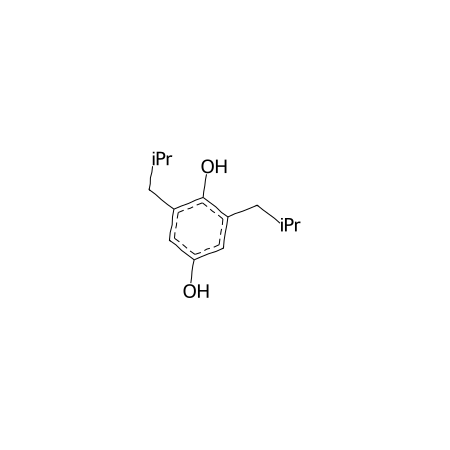 CC(C)Cc1cc(O)cc(CC(C)C)c1O